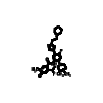 CC1CN(c2cc(F)c(-c3cnn(CCN4CCOCC4)c3)cc2NC(=O)c2cn(C)c(=O)cc2C(F)F)CCN1C